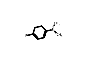 C[SiH](C)C1=CC=C(F)CC1